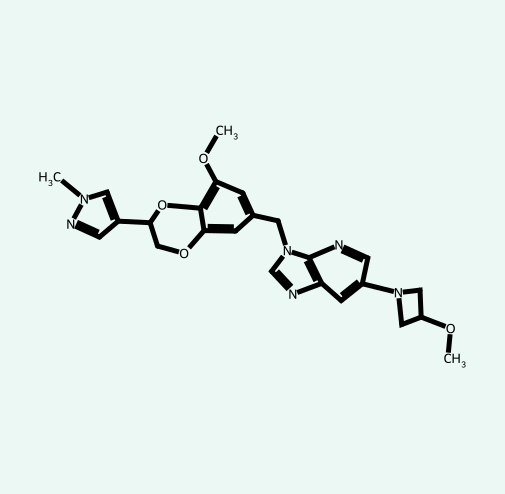 COc1cc(Cn2cnc3cc(N4CC(OC)C4)cnc32)cc2c1OC(c1cnn(C)c1)CO2